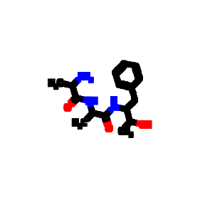 CC(N)C(=O)NC(C)C(=O)NC(Cc1ccccc1)C(C)O